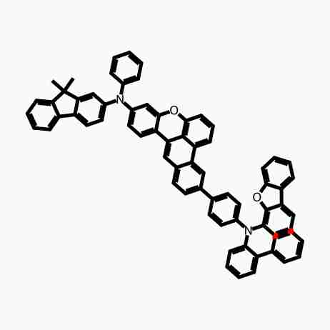 CC1(C)c2ccccc2-c2ccc(N(c3ccccc3)c3ccc4c(c3)Oc3cccc5c3c-4cc3ccc(-c4ccc(N(c6ccccc6-c6ccccc6)c6cccc7c6oc6ccccc67)cc4)cc35)cc21